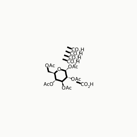 CC(=O)O.CC(=O)O.CC(=O)O.CC(=O)O.CC(=O)O.CC(=O)OC[C@H]1O[C@H](OC(C)=O)[C@H](OC(C)=O)[C@@H](OC(C)=O)[C@@H]1OC(C)=O